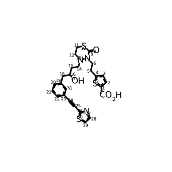 O=C(O)c1ccc(CCN2C(=O)SCCN2CCC(O)Cc2cccc(C#Cc3nccs3)c2)s1